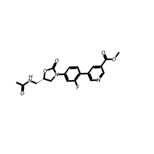 COC(=O)c1cncc(-c2ccc(N3C[C@H](CNC(C)=O)OC3=O)cc2F)c1